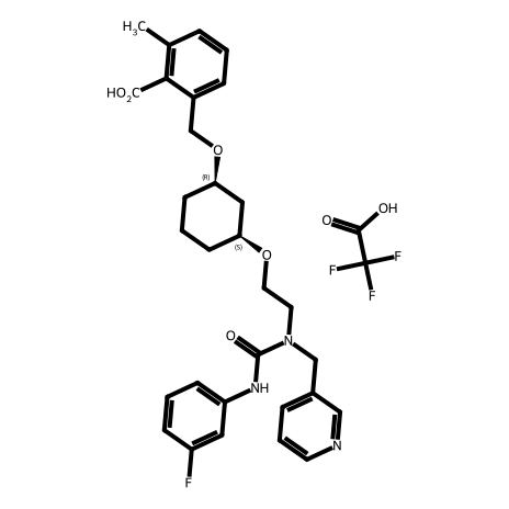 Cc1cccc(CO[C@@H]2CCC[C@H](OCCN(Cc3cccnc3)C(=O)Nc3cccc(F)c3)C2)c1C(=O)O.O=C(O)C(F)(F)F